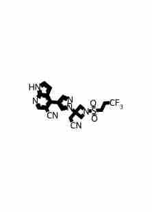 N#CCC1(n2cc(-c3c(C#N)cnc4[nH]ccc34)cn2)CN(S(=O)(=O)CCC(F)(F)F)C1